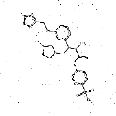 CN(C(=O)Cc1ccc(S(C)(=O)=O)cc1)C(CN1CCC(F)C1)c1cccc(OCc2nn[nH]n2)c1